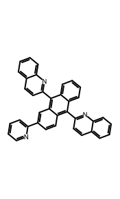 c1ccc(-c2ccc3c(-c4ccc5ccccc5n4)c4ccccc4c(-c4ccc5ccccc5n4)c3c2)nc1